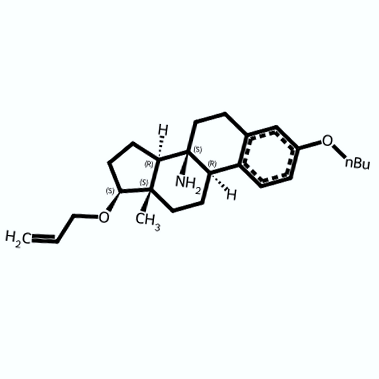 C=CCO[C@H]1CC[C@@H]2[C@]1(C)CC[C@@H]1c3ccc(OCCCC)cc3CC[C@]12N